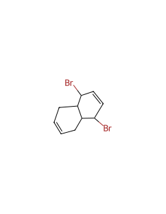 BrC1C=CC(Br)C2CC=CCC12